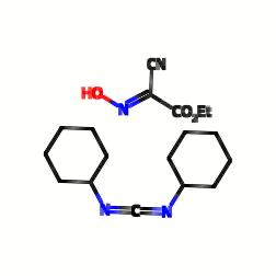 C(=NC1CCCCC1)=NC1CCCCC1.CCOC(=O)C(C#N)=NO